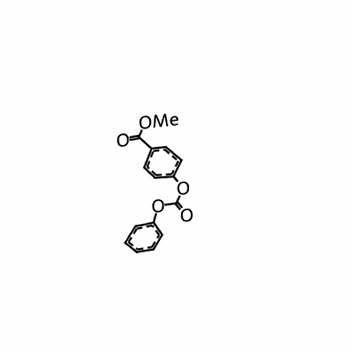 COC(=O)c1ccc(OC(=O)Oc2ccccc2)cc1